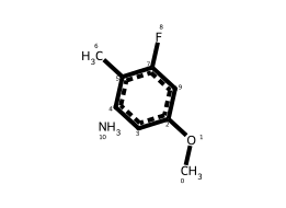 COc1ccc(C)c(F)c1.N